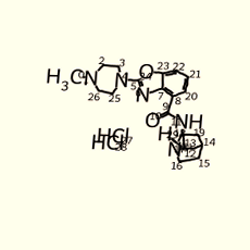 CN1CCN(c2nc3c(C(=O)N[C@@H]4CC5CCN4CC5)cccc3o2)CC1.Cl.Cl